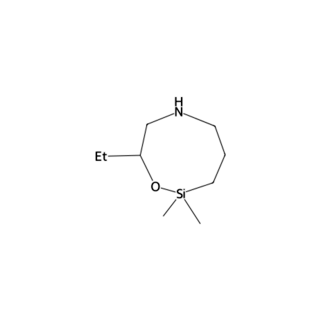 CCC1CNCCC[Si](C)(C)O1